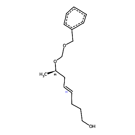 C[C@H](C/C=C/CCCO)OCOCc1ccccc1